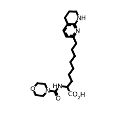 O=C(O)C(CCCCCCCc1ccc2c(n1)NCCC2)NC(=O)N1CCOCC1